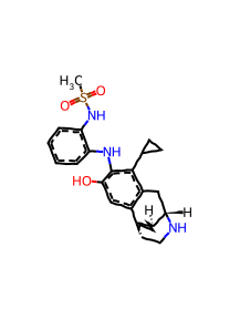 CS(=O)(=O)Nc1ccccc1Nc1c(O)cc2c(c1C1CC1)C[C@@H]1NCC[C@]23CCCC[C@H]13